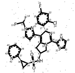 O=S(=O)(N[C@H]1CC2=C(c3ccn(C(F)F)n3)[C@H](c3ccc(F)cc3Cl)N=C(c3nccs3)N2C1)[C@H]1C[C@H]1c1ccccn1